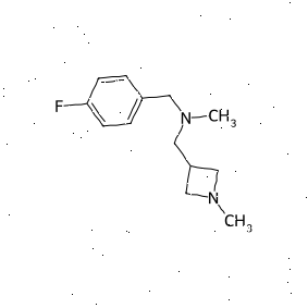 CN(Cc1ccc(F)cc1)CC1CN(C)C1